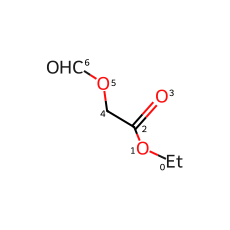 CCOC(=O)COC=O